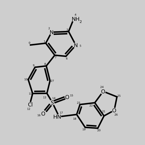 Cc1nc(N)ncc1-c1ccc(Cl)c(S(=O)(=O)Nc2ccc3c(c2)OCO3)c1